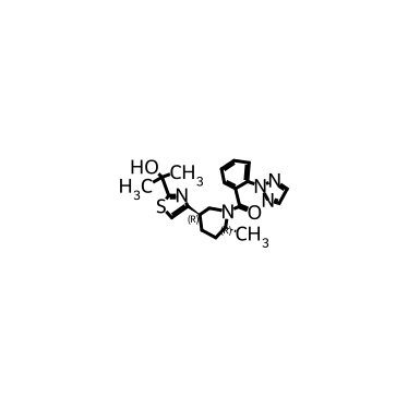 C[C@@H]1CC[C@@H](c2csc(C(C)(C)O)n2)CN1C(=O)c1ccccc1-n1nccn1